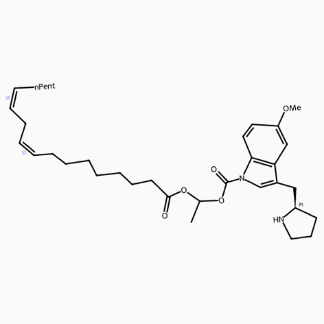 CCCCC/C=C\C/C=C\CCCCCCCC(=O)OC(C)OC(=O)n1cc(C[C@H]2CCCN2)c2cc(OC)ccc21